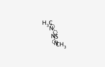 CC1CCC(C2C=C3N=C(C4CCCN(C)C4)SC3CC2)=NC1